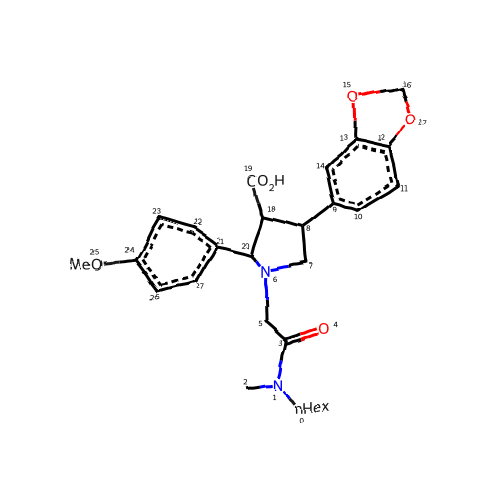 CCCCCCN(C)C(=O)CN1CC(c2ccc3c(c2)OCO3)C(C(=O)O)C1c1ccc(OC)cc1